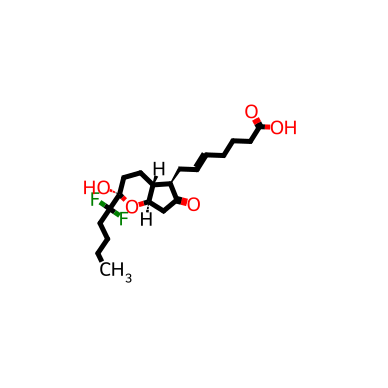 CCCCC(F)(F)[C@@]1(O)CC[C@H]2[C@@H](CC(=O)[C@@H]2CC=CCCCC(=O)O)O1